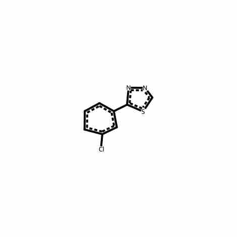 Clc1cccc(-c2nncs2)c1